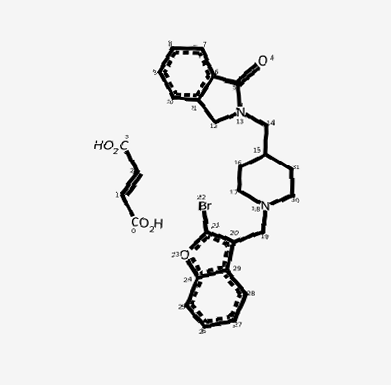 O=C(O)/C=C/C(=O)O.O=C1c2ccccc2CN1CC1CCN(Cc2c(Br)oc3ccccc23)CC1